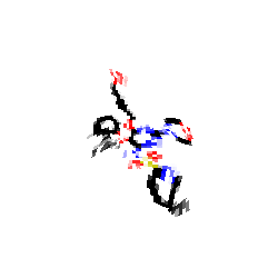 COc1ccccc1Oc1c(NS(=O)(=O)c2ccc(C(C)C)cn2)nc(N2CCOCC2)nc1OCC#CCO